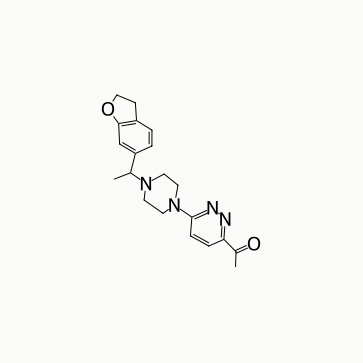 CC(=O)c1ccc(N2CCN(C(C)c3ccc4c(c3)OCC4)CC2)nn1